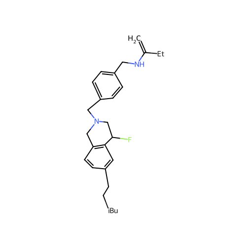 C=C(CC)NCc1ccc(CN2Cc3ccc(CCC(C)CC)cc3C(F)C2)cc1